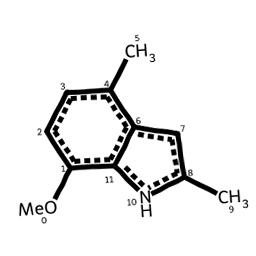 COc1ccc(C)c2cc(C)[nH]c12